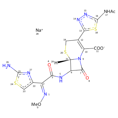 CON=C(C(=O)NC1C(=O)N2C(C(=O)[O-])=C(c3nnc(NC(C)=O)s3)CS[C@@H]12)c1csc(N)n1.[Na+]